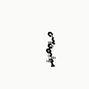 C=C(/C=C/CN1CCCCC1)Nc1ccc(-c2cccc(CC(=O)Nc3cc(C4CC4)[nH]n3)c2)cn1